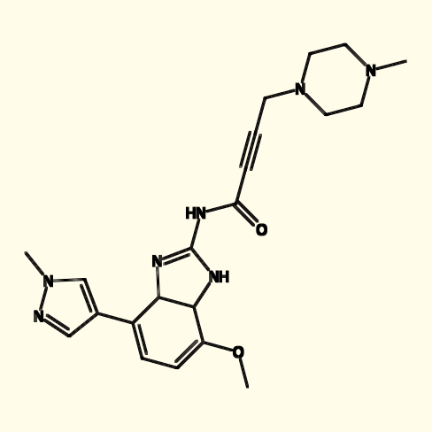 COC1=CC=C(c2cnn(C)c2)C2N=C(NC(=O)C#CCN3CCN(C)CC3)NC12